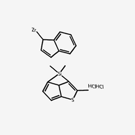 CC1=C2C3C(=CC=C3[Si]2(C)C)S1.Cl.Cl.[Zr][CH]1C=Cc2ccccc21